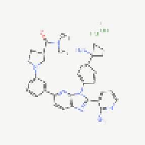 CN(C)C(=O)C1CCN(c2cccc(-c3ccc4nc(-c5cccnc5N)n(-c5ccc(C6(N)CCC6)cc5)c4n3)c2)C1.Cl.Cl.Cl